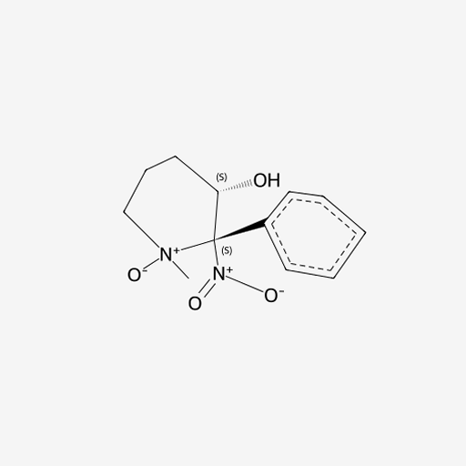 C[N+]1([O-])CCC[C@H](O)[C@]1(c1ccccc1)[N+](=O)[O-]